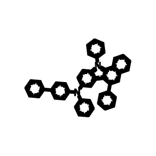 c1ccc(-c2ccc(N(c3ccccc3)c3ccc4c(c3)c3c(-c5ccccc5)cc5ccccc5c3n4-c3ccccc3)cc2)cc1